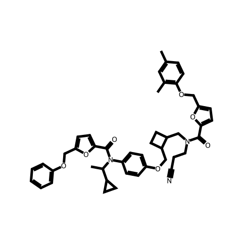 Cc1ccc(OCc2ccc(C(=O)N(CCC#N)CC3CCC3COc3ccc(N(C(=O)c4ccc(COc5ccccc5)o4)C(C)C4CC4)cc3)o2)c(C)c1